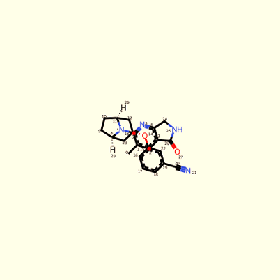 Cc1cc2c(nc1N1[C@@H]3CC[C@H]1C[C@H](Oc1cccc(C#N)c1)C3)CNC2=O